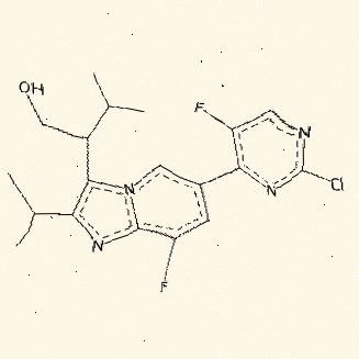 CC(C)c1nc2c(F)cc(-c3nc(Cl)ncc3F)cn2c1C(CO)C(C)C